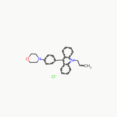 C=CC[n+]1c2ccccc2c(-c2ccc(N3CCOCC3)cc2)c2ccccc21.[Cl-]